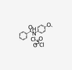 COc1ccc(NC(=O)c2ccccc2)cc1.O=S(=O)(Cl)Cl